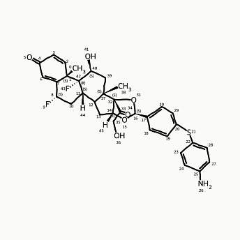 C[C@]12C=CC(=O)C=C1[C@@H](F)C[C@H]1C3C[C@H]4O[C@H](c5ccc(Sc6ccc(N)cc6)cc5)O[C@@]4(C(=O)CO)[C@@]3(C)C[C@H](O)[C@@]12F